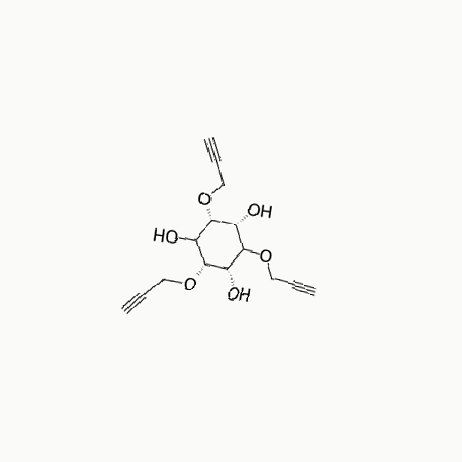 C#CCOC1[C@H](O)[C@H](OCC#C)C(O)[C@H](OCC#C)[C@@H]1O